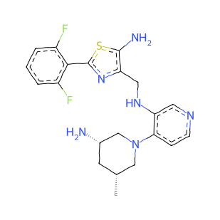 C[C@@H]1C[C@H](N)CN(c2ccncc2NCc2nc(-c3c(F)cccc3F)sc2N)C1